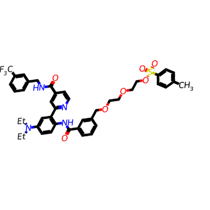 CCN(CC)c1ccc(NC(=O)c2cccc(COCCOCCOS(=O)(=O)c3ccc(C)cc3)c2)c(-c2cc(C(=O)NCc3cccc(C(F)(F)F)c3)ccn2)c1